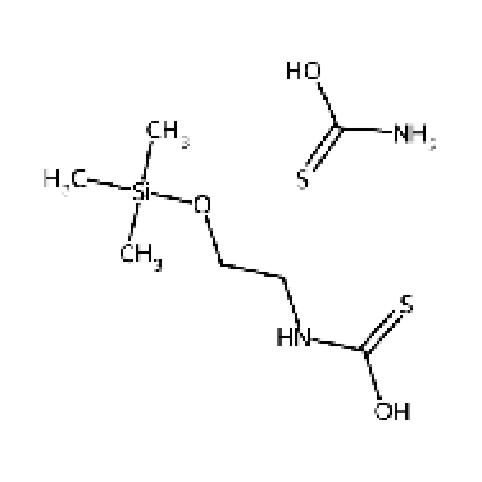 C[Si](C)(C)OCCNC(O)=S.NC(O)=S